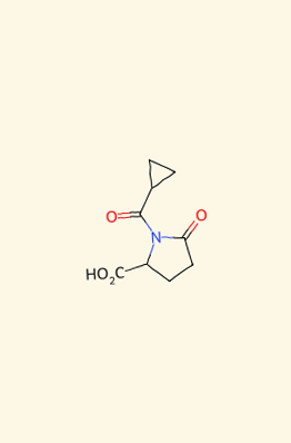 O=C(O)C1CCC(=O)N1C(=O)C1CC1